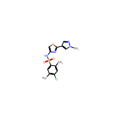 Cc1cc(S(=O)(=O)Nc2csc(-c3cnn(C)c3)n2)c(C)cc1Cl